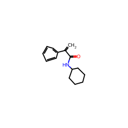 C=C(C(=O)NC1CCCCC1)c1ccccc1